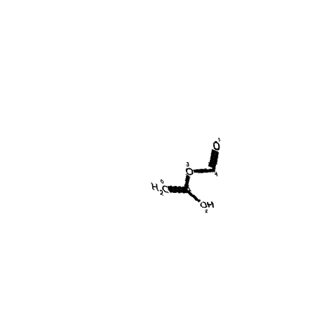 C=C(O)OC=O